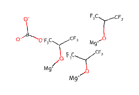 FC(F)(F)C([O][Mg+])C(F)(F)F.FC(F)(F)C([O][Mg+])C(F)(F)F.FC(F)(F)C([O][Mg+])C(F)(F)F.[O-]B([O-])[O-]